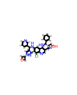 N#Cc1cnc2c(Cl)cc(N[C@@H](c3cccnc3)c3cn(C4COC4)nn3)cc2c1N[C@@H](CCO)c1ccccc1